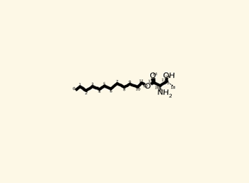 CCCCCCCCCCCCOC(=O)[C@@H](N)[C@@H](C)O